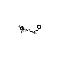 CN(CCCOCC[C@@H]1CC[C@H]2C[C@@H]1C2(C)C)CCc1ccccc1